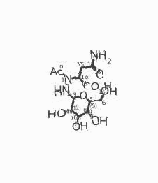 CC(=O)N(NC1O[C@@H](CO)[C@H](O)[C@@H](O)[C@@H]1O)C(CC(N)=O)C(=O)O